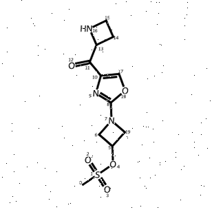 CS(=O)(=O)OC1CN(c2nc(C(=O)C3CCN3)co2)C1